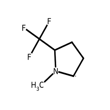 CN1[CH]CCC1C(F)(F)F